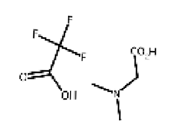 CN(C)CC(=O)O.O=C(O)C(F)(F)F